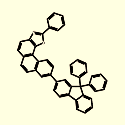 c1ccc(-c2nc3ccc4ccc5cc(-c6ccc7c(c6)C(c6ccccc6)(c6ccccc6)c6ccccc6-7)ccc5c4c3o2)cc1